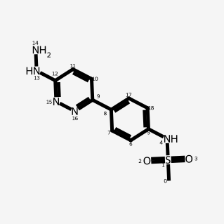 CS(=O)(=O)Nc1ccc(-c2ccc(NN)nn2)cc1